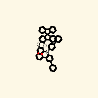 c1ccc(-c2ccc(N(c3ccc(-c4ccccc4)cc3-c3ccccc3)c3cccc4c3Oc3c(ccc5c3-c3ccccc3C53c5ccccc5-c5ccccc53)O4)cc2)cc1